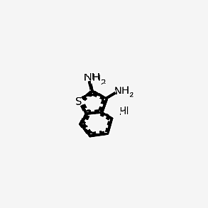 I.Nc1sc2ccccc2c1N